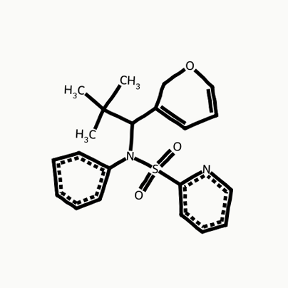 CC(C)(C)C(C1=CC=COC1)N(c1ccccc1)S(=O)(=O)c1ccccn1